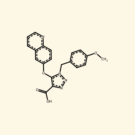 COc1ccc(Cn2nnc(C(=O)O)c2Oc2ccc3ncccc3c2)cc1